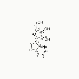 OC[C@H]1OC(N2CSc3cncnc32)[C@H](O)[C@@H]1O